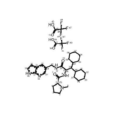 CN1CCC[C@H]1C(=O)N[C@@H](C(=O)NCc1cnc2[nH]ccc2c1)C(C1CCCCC1)C1CCCCC1.O=C(O)C(F)(F)F.O=C(O)C(F)(F)F